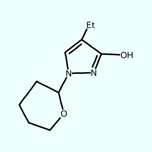 CCc1cn(C2CCCCO2)nc1O